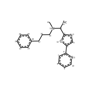 CC(=O)C(c1ncc(-c2ccccn2)o1)N(C)CCCc1ccccc1